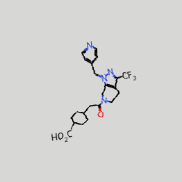 O=C(O)C1CCC(CC(=O)N2CCc3c(C(F)(F)F)nn(Cc4ccncc4)c3C2)CC1